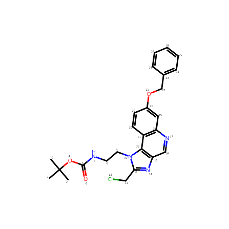 CC(C)(C)OC(=O)NCCn1c(CCl)nc2cnc3cc(OCc4ccccc4)ccc3c21